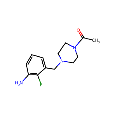 CC(=O)N1CCN(Cc2cccc(N)c2F)CC1